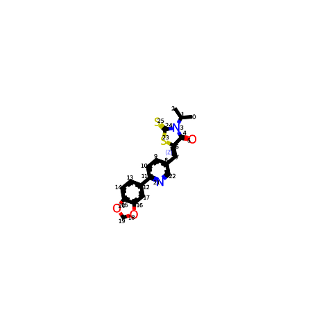 CC(C)N1C(=O)/C(=C/c2ccc(-c3ccc4c(c3)OCO4)nc2)SC1=S